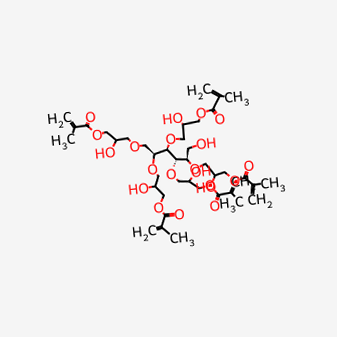 C=C(C)C(=O)OCC(O)COC[C@H](OCC(O)COC(=O)C(=C)C)[C@@H](OCC(O)COC(=O)C(=C)C)[C@@H](OCC(O)COC(=O)C(=C)C)[C@@H](CO)OCC(O)COC(=O)C(=C)C